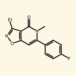 CCc1noc2cc(-c3ccc(F)cc3)n(C)c(=O)c12